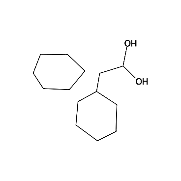 C1CCCCC1.OC(O)CC1CCCCC1